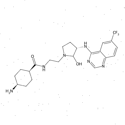 N[C@H]1CC[C@@H](C(=O)NCCN2CC[C@H](Nc3ncnc4ccc(C(F)(F)F)cc34)C2O)CC1